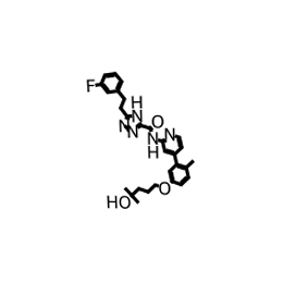 Cc1ccc(OCCCC(C)(C)O)cc1-c1ccnc(NC(=O)c2nnc(CCc3cccc(F)c3)[nH]2)c1